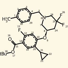 Cc1ccc(CN2C[C@H](Oc3cc(F)c(C(=O)OC(C)(C)C)cc3C3CC3)CC(F)(F)C2)cc1